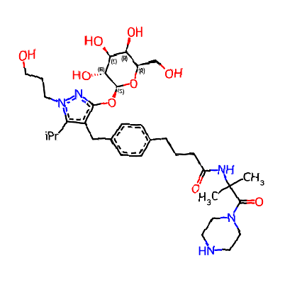 CC(C)c1c(Cc2ccc(CCCC(=O)NC(C)(C)C(=O)N3CCNCC3)cc2)c(O[C@@H]2O[C@H](CO)[C@H](O)[C@H](O)[C@H]2O)nn1CCCO